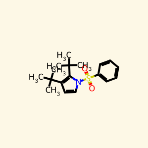 CC(C)(C)c1ccn(S(=O)(=O)c2ccccc2)c1C(C)(C)C